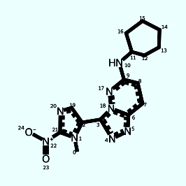 Cn1c(-c2nnc3ccc(NC4CCCCC4)nn23)cnc1[N+](=O)[O-]